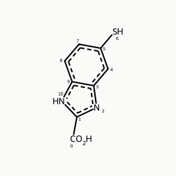 O=C(O)c1nc2cc(S)ccc2[nH]1